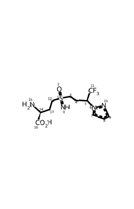 N=S(=O)(CCC(n1cccn1)C(F)(F)F)CC[C@H](N)C(=O)O